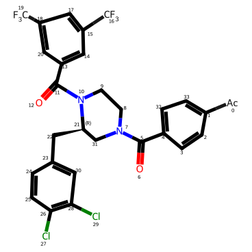 CC(=O)c1ccc(C(=O)N2CCN(C(=O)c3cc(C(F)(F)F)cc(C(F)(F)F)c3)[C@H](Cc3ccc(Cl)c(Cl)c3)C2)cc1